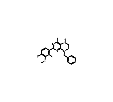 COc1c(I)ccc(-c2nc(C)c3c(n2)N(Cc2ccccc2)CCN3)c1F